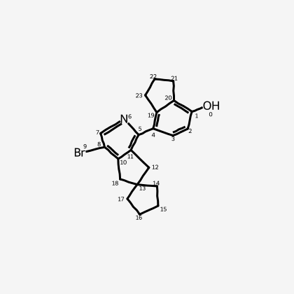 Oc1ccc(-c2ncc(Br)c3c2CC2(CCCC2)C3)c2c1CCC2